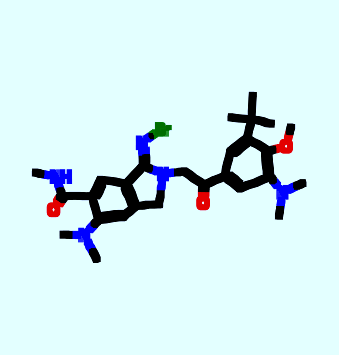 CNC(=O)c1cc2c(cc1N(C)C)CN(CC(=O)c1cc(N(C)C)c(OC)c(C(C)(C)C)c1)/C2=N\Br